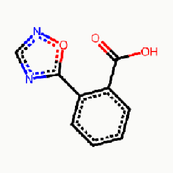 O=C(O)c1ccccc1-c1ncno1